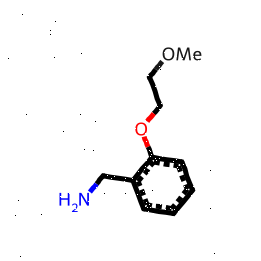 COCCOc1ccccc1CN